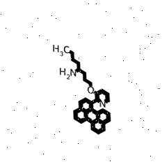 CCCCC(N)CCCOc1cccnc1-c1ccc2cccc3c4cccc5cccc(c1c23)c54